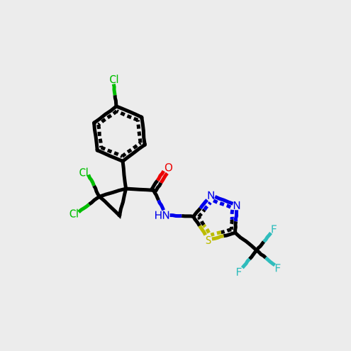 O=C(Nc1nnc(C(F)(F)F)s1)C1(c2ccc(Cl)cc2)CC1(Cl)Cl